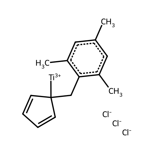 Cc1cc(C)c(C[C]2([Ti+3])C=CC=C2)c(C)c1.[Cl-].[Cl-].[Cl-]